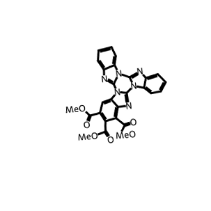 COC(=O)c1cc2c(nc3n4c5ccccc5nc4n4c5ccccc5nc4n23)c(C(=O)OC)c1C(=O)OC